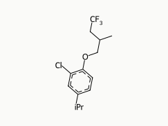 CC(COc1ccc(C(C)C)cc1Cl)CC(F)(F)F